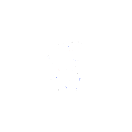 C[C@@H]1CCN(C(=O)CC#N)C[C@@H]1N(C)c1ncnc2c1ccn2C(=O)NCC(=O)ON1C(=O)CCC1=O